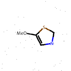 COC1=C[N]CS1